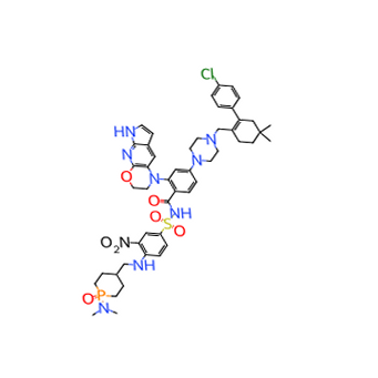 CN(C)P1(=O)CCC(CNc2ccc(S(=O)(=O)NC(=O)c3ccc(N4CCN(CC5=C(c6ccc(Cl)cc6)CC(C)(C)CC5)CC4)cc3N3CCOc4nc5[nH]ccc5cc43)cc2[N+](=O)[O-])CC1